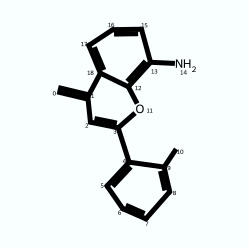 C=C1C=C(c2ccccc2C)Oc2c(N)cccc21